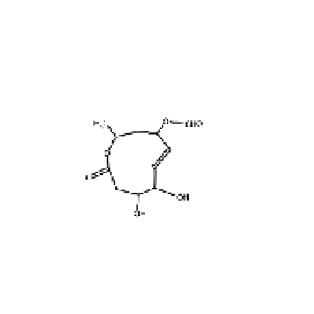 CC1CC(OC=O)/C=C/C(O)C(O)CC(=O)O1